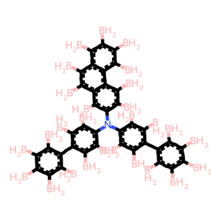 Bc1c(B)c(B)c(-c2c(B)c(B)c(N(c3c(B)c(B)c(-c4c(B)c(B)c(B)c(B)c4B)c(B)c3B)c3c(B)c(B)c4c(c3B)c(B)c(B)c3c(B)c(B)c(B)c(B)c34)c(B)c2B)c(B)c1B